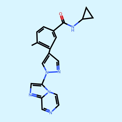 Cc1ccc(C(=O)NC2CC2)cc1-c1cnn(-c2cnc3cnccn23)c1